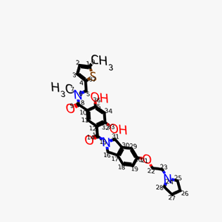 Cc1ccc(CN(C)C(=O)c2cc(C(=O)N3Cc4ccc(OCCN5CCCC5)cc4C3)c(O)cc2O)s1